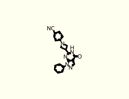 N#Cc1ccc(N2CC(c3nc4c(cnn4-c4ccccc4)c(=O)[nH]3)C2)cc1